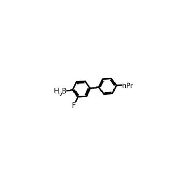 Bc1ccc(-c2ccc(CCC)cc2)cc1F